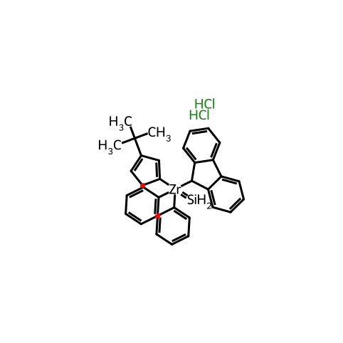 CC(C)(C)C1=CC[C]([Zr](=[SiH2])([c]2ccccc2)([c]2ccccc2)[CH]2c3ccccc3-c3ccccc32)=C1.Cl.Cl